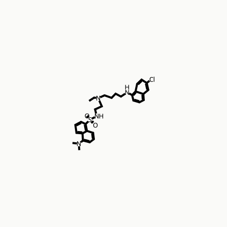 CCN(CCCCNc1cccc2cc(Cl)ccc12)CCNS(=O)(=O)c1cccc2c(N(C)C)cccc12